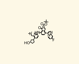 CN(C)Cc1nc(Nc2ccc(-c3cnc4cc(F)ccn34)c3c2C(=O)N(C(=O)OC(C)(C)C)C3)ccc1C1CC[C@@H](O)C1